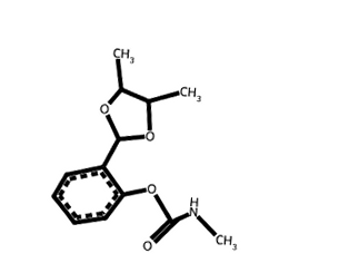 CNC(=O)Oc1ccccc1C1OC(C)C(C)O1